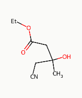 CCOC(=O)CC(C)(O)CC#N